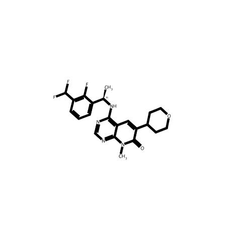 C[C@@H](Nc1ncnc2c1cc(C1CCOCC1)c(=O)n2C)c1cccc(C(F)F)c1F